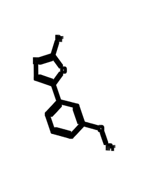 CC(C)Oc1cccc(-c2cnc(Br)o2)c1